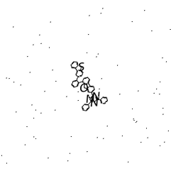 c1ccc(-c2nc(-c3ccccc3)nc(-c3ccc4c(c3)oc3c(-c5ccccc5-c5ccc6sc7ccccc7c6c5)cccc34)n2)cc1